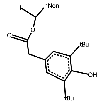 CCCCCCCCCC(I)OC(=O)Cc1cc(C(C)(C)C)c(O)c(C(C)(C)C)c1